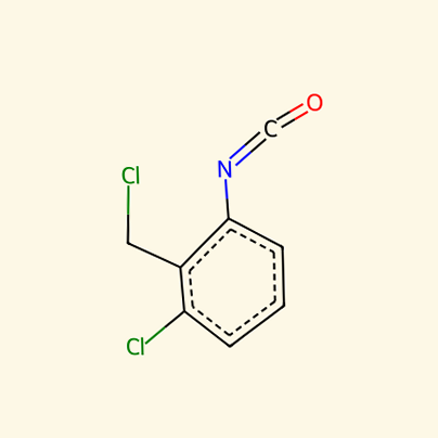 O=C=Nc1cccc(Cl)c1CCl